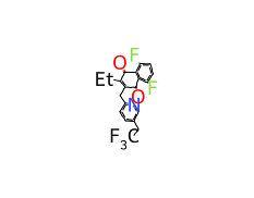 CCC1=C(Cc2ccc(CC(F)(F)F)cn2)C(=O)c2c(F)ccc(F)c2C1=O